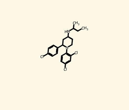 CCC(C)NC1CCN(c2ccc(Cl)cc2Cl)C(c2ccc(Cl)cc2)C1